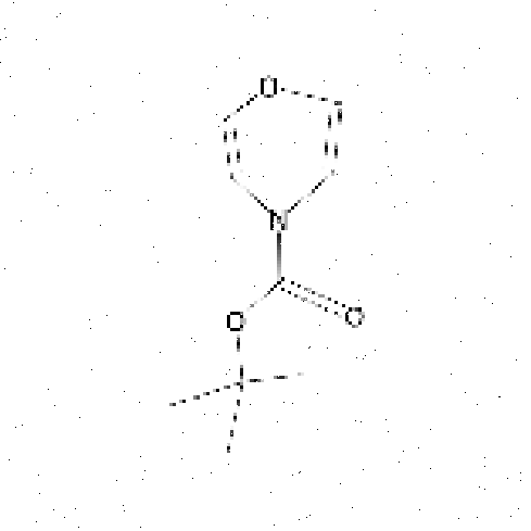 CC(C)(C)OC(=O)N1C=COC=C1